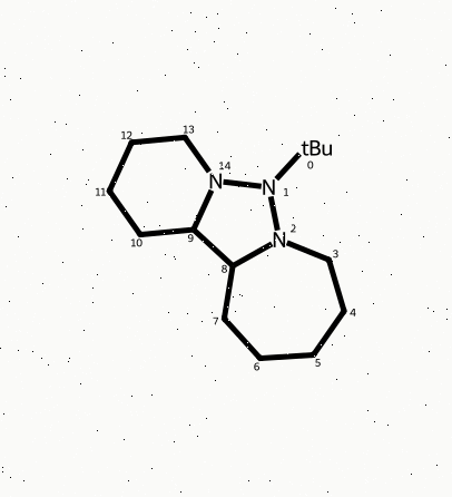 CC(C)(C)N1N2CCCCCC2C2CCCCN21